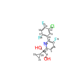 OC[C@](O)(c1ccc(F)c(-c2cc(Cl)c(F)cc2F)n1)C1CC1